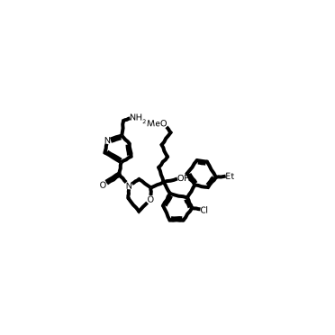 CCc1cccc(-c2c(Cl)cccc2C(O)(CCCCOC)C2CN(C(=O)c3ccc(CN)nc3)CCO2)c1